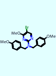 COc1ccc(CN(Cc2ccc(OC)cc2)c2ncc(Br)c(OC)n2)cc1